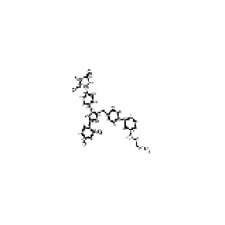 CCCOc1cccc(-c2ccc(Cc3nc(-c4ccc(Cl)cc4Cl)cn3-c3ccc(N4CC(=O)N[S+]4[O-])cc3)cc2)c1